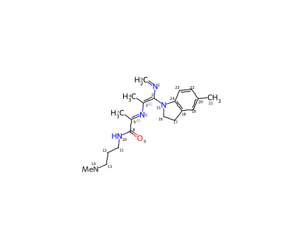 C=N/C(=C(C)/N=C(\C)C(=O)NCCCNC)N1CCc2cc(C)ccc21